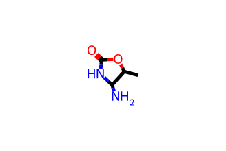 CC1OC(=O)NC1N